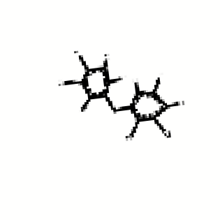 Clc1c(Cl)c(Cl)c(Cc2c(Cl)c(Cl)c(Cl)c(Cl)c2Cl)c(Cl)c1Cl